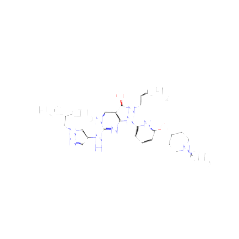 C=CCn1c(=O)c2cnc(Nc3cnn(CC(C)C)c3)nc2n1-c1cccc(OC2CCN(C)CC2)n1